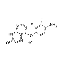 Cl.Nc1ccc(Oc2ccnc3[nH]c(=O)cnc23)c(F)c1F